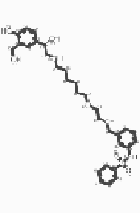 O=S(=O)(Nc1cccc(COCCOCCCCCCNC[C@@H](O)c2ccc(O)c(CO)c2)c1)c1ccccc1